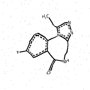 Cc1nnc2n1-c1ccc(F)cc1C(=O)NC2